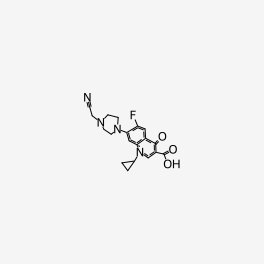 N#CCN1CCN(c2cc3c(cc2F)c(=O)c(C(=O)O)cn3C2CC2)CC1